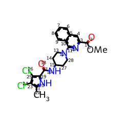 COC(=O)c1cc2ccccc2c(N2CCC(NC(=O)c3[nH]c(C)c(Cl)c3Cl)CC2)n1